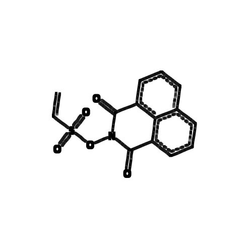 C=CS(=O)(=O)ON1C(=O)c2cccc3cccc(c23)C1=O